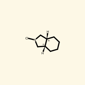 ClN1C[C@H]2CCCC[C@H]2C1